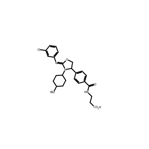 CC(C)(C)C1CCC(N2C(=Nc3cccc(Cl)c3)OCC2c2ccc(C(=O)NCCC(=O)O)cc2)CC1